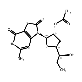 CC[C@H](O)[C@@H]1C[C@@H](OC(C)=O)[C@H](n2c(=O)sc3c(=O)[nH]c(N)nc32)O1